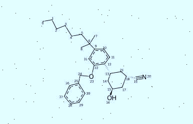 CCCCCCC(C)(C)c1ccc([C@H]2C[C@H](O)C[C@@H](C#N)C2)c(OCc2ccccc2)c1